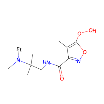 CCN(C)C(C)(C)CNC(=O)c1noc(OO)c1C